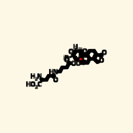 CC(C)[C@]12O[C@H]1[C@@H]1O[C@]13[C@]1(O[C@H]1CC1C4=C(CC[C@@]13C)C(=O)OC4)[C@@H]2OC(=O)CCCNC(=O)CC[C@H](N)C(=O)O